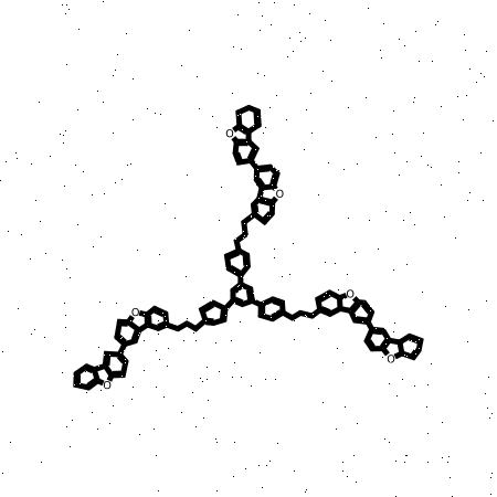 C1=CC2Oc3ccc(-c4ccc5c(c4)C4C=C(CCCc6ccc(-c7cc(-c8ccc(CCCc9ccc%10oc%11ccc(-c%12ccc%13oc%14c(c%13c%12)C=CCC%14)cc%11c%10c9)cc8)cc(-c8ccc(CCCc9ccc%10oc%11ccc(-c%12ccc%13oc%14ccccc%14c%13c%12)cc%11c%10c9)cc8)c7)cc6)C=CC4O5)cc3C2C=C1